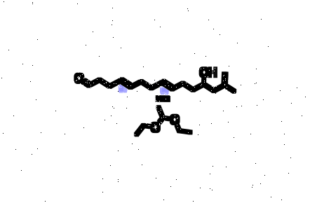 C=C.C=C(C)CC(O)CC/C=C/CC/C=C/CCC=O.CCOC(C)OCC